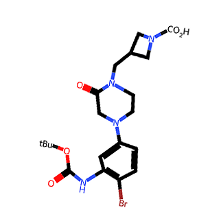 CC(C)(C)OC(=O)Nc1cc(N2CCN(CC3CN(C(=O)O)C3)C(=O)C2)ccc1Br